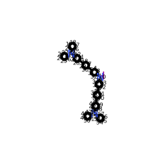 IN(c1ccc(-c2ccc(-c3ccc(N(c4ccccc4)c4ccccc4)cc3)cc2)cc1)c1ccc(-c2ccc(-c3ccc(N(c4ccccc4)c4ccccc4)cc3)cc2)cc1